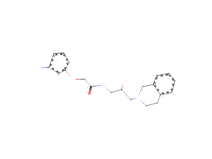 Nc1cccc(OCC(=O)NCC(O)CN2CCc3ccccc3C2)c1